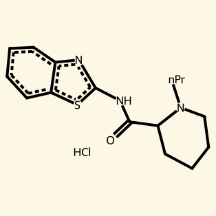 CCCN1CCCCC1C(=O)Nc1nc2ccccc2s1.Cl